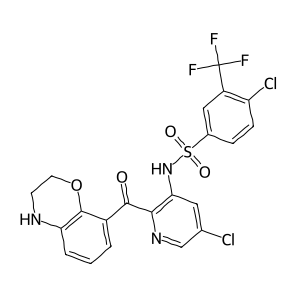 O=C(c1cccc2c1OCCN2)c1ncc(Cl)cc1NS(=O)(=O)c1ccc(Cl)c(C(F)(F)F)c1